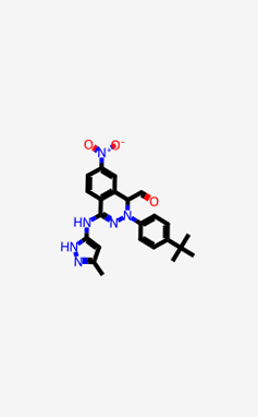 Cc1cc(NC2=NN(c3ccc(C(C)(C)C)cc3)C(C=O)c3cc([N+](=O)[O-])ccc32)[nH]n1